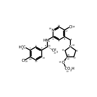 Cc1cc([C@H](Nc2cc(CN3CC[C@@H](OC(=O)O)C3)c(Cl)cn2)C(F)(F)F)ccc1Cl